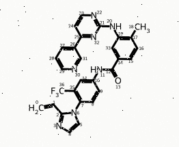 C=Cc1nccn1-c1ccc(NC(=O)c2ccc(C)c(Nc3nccc(-c4cccnc4)n3)c2)cc1C(F)(F)F